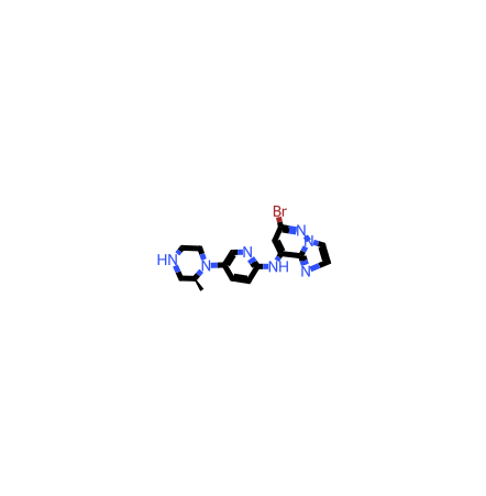 C[C@H]1CNCCN1c1ccc(Nc2cc(Br)nn3ccnc23)nc1